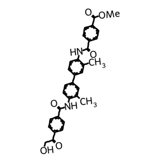 COC(=O)c1ccc(C(=O)Nc2ccc(-c3ccc(NC(=O)c4ccc(C(=O)CO)cc4)c(C)c3)cc2C)cc1